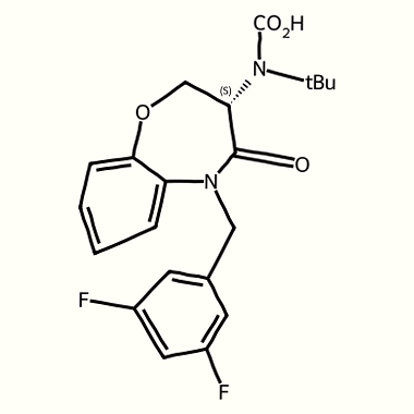 CC(C)(C)N(C(=O)O)[C@H]1COc2ccccc2N(Cc2cc(F)cc(F)c2)C1=O